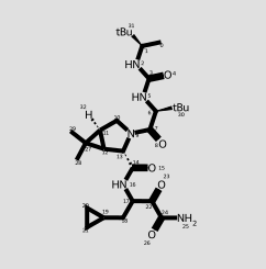 C[C@@H](NC(=O)N[C@H](C(=O)N1C[C@H]2C([C@H]1C(=O)NC(CC1CC1)C(=O)C(N)=O)C2(C)C)C(C)(C)C)C(C)(C)C